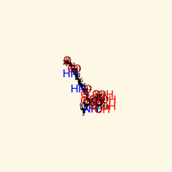 C=C(C)N[C@@H]1[C@H](C)O[C@@H](COC(=O)NCCCCCNC(=O)OCC2CO2)C(O)[C@H]1O[C@H]1O[C@@H](C(=O)O)C(O)[C@H](O)[C@@H]1O